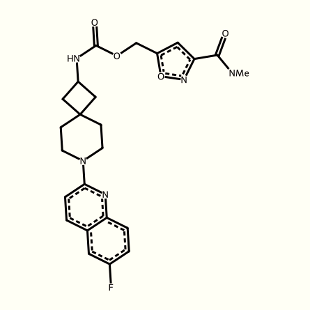 CNC(=O)c1cc(COC(=O)NC2CC3(CCN(c4ccc5cc(F)ccc5n4)CC3)C2)on1